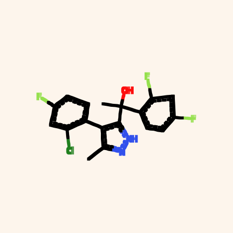 Cc1n[nH]c(C(C)(O)c2ccc(F)cc2F)c1-c1ccc(F)cc1Cl